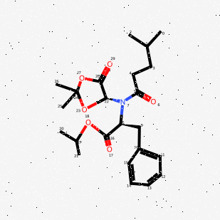 CC(C)CCC(=O)N([C@@H](Cc1ccccc1)C(=O)OC(C)C)[C@H]1OC(C)(C)OC1=O